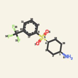 N[C@H]1CC[C@H](S(=O)(=O)c2cccc(C(F)(F)F)c2)CC1